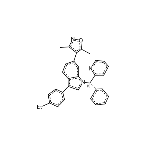 CCc1ccc(-c2cn([C@@H](c3ccccc3)c3ccccn3)c3cc(-c4c(C)noc4C)ccc23)cc1